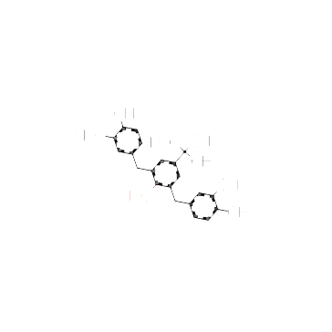 Cc1ccc(Cc2cc(C(C)(C)C)cc(Cc3ccc(C)c(C)c3)c2O)cc1C